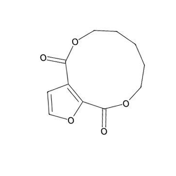 O=C1OCCCCCOC(=O)c2occc21